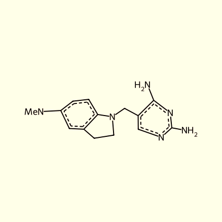 CNc1ccc2c(c1)CCN2Cc1cnc(N)nc1N